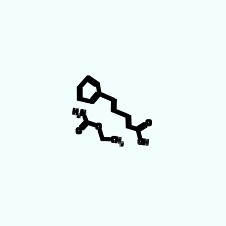 CCOC(N)=O.O=C(O)C=CC=Cc1ccccc1